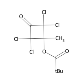 CC(C)(C)C(=O)OC1(C)C(Cl)(Cl)C(=O)C1(Cl)Cl